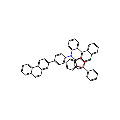 c1ccc(-c2ccc(N(c3ccc(-c4ccc5c(ccc6ccccc65)c4)cc3)c3ccccc3-c3c4ccccc4cc4oc5ccccc5c34)cc2)cc1